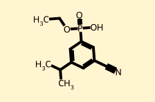 CCOP(=O)(O)c1cc(C#N)cc(C(C)C)c1